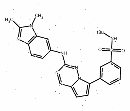 Cc1nc2ccc(Nc3ncc4ccc(-c5cccc(S(=O)(=O)NC(C)(C)C)c5)n4n3)cc2n1C